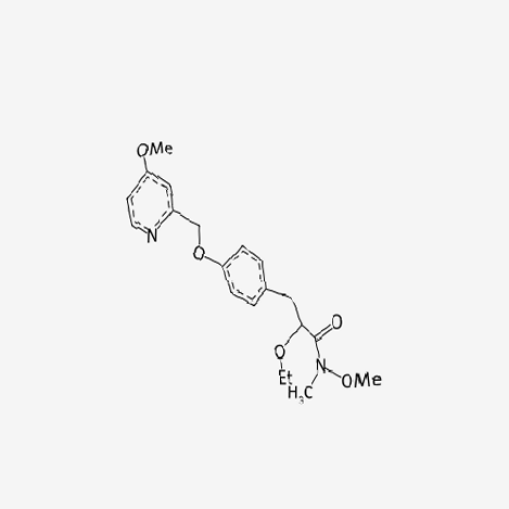 CCOC(Cc1ccc(OCc2cc(OC)ccn2)cc1)C(=O)N(C)OC